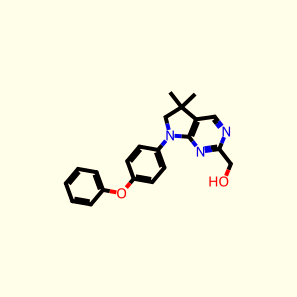 CC1(C)CN(c2ccc(Oc3ccccc3)cc2)c2nc(CO)ncc21